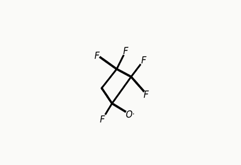 [O]C1(F)CC(F)(F)C1(F)F